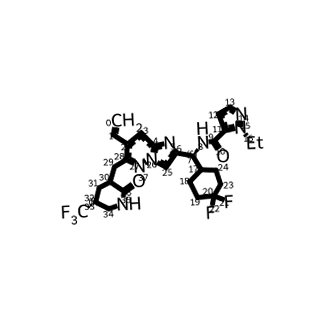 C=Cc1cc2nc([C@@H](NC(=O)c3ccnn3CC)C3CCC(F)(F)CC3)cn2nc1CC1C[C@@H](C(F)(F)F)CNC1=O